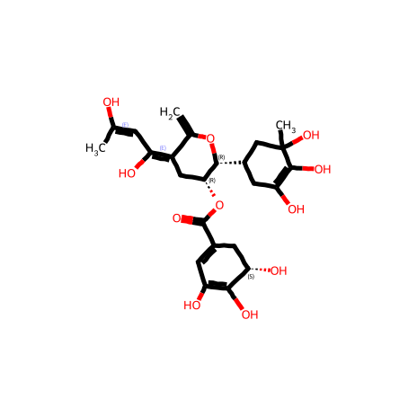 C=C1O[C@H](C2CC(O)=C(O)C(C)(O)C2)[C@H](OC(=O)C2=CC(O)=C(O)[C@@H](O)C2)C/C1=C(O)/C=C(\C)O